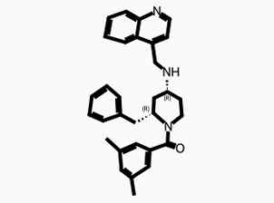 Cc1cc(C)cc(C(=O)N2CC[C@@H](NCc3ccnc4ccccc34)C[C@H]2Cc2ccccc2)c1